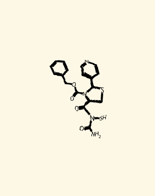 NC(=O)N(S)C(=O)C1CSC(c2ccncc2)N1C(=O)OCc1ccccc1